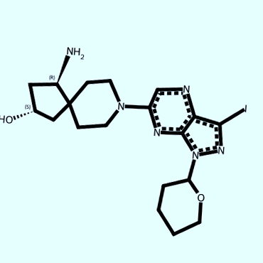 N[C@@H]1C[C@@H](O)CC12CCN(c1cnc3c(I)nn(C4CCCCO4)c3n1)CC2